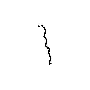 [CH2]OCCCCCCCC(C)C